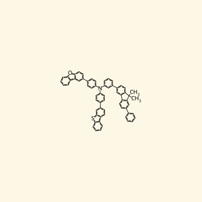 CC1(C)c2ccc(-c3cccc(N(c4ccc(-c5ccc6c(c5)sc5ccccc56)cc4)c4ccc(-c5ccc6oc7ccccc7c6c5)cc4)c3)cc2-c2ccc(-c3ccccc3)cc21